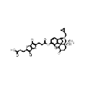 C[C@H]1N(CC2CC2)C2CC34c5c2ccc(OC(=O)CCc2sc6c(Cl)c(CCC(=O)O)sc6c2Cl)c5O[C@H]3C(=O)CC[C@@]14O